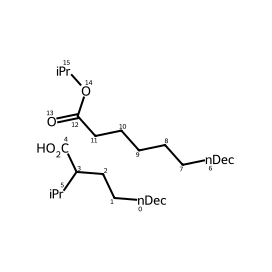 CCCCCCCCCCCCC(C(=O)O)C(C)C.CCCCCCCCCCCCCCCC(=O)OC(C)C